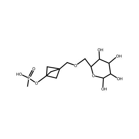 CP(=O)(O)OC12CC(COCC3OC(O)C(O)C(O)C3O)(C1)C2